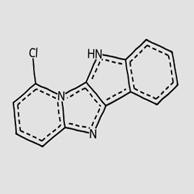 Clc1cccc2nc3c4ccccc4[nH]c3n12